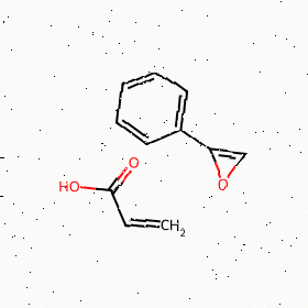 C1=C(c2ccccc2)O1.C=CC(=O)O